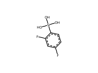 O[Si](O)(O)c1ccc(F)cc1F